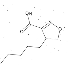 CCCCCC1CON=C1C(=O)O